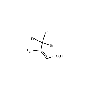 O=C(O)C=C(C(F)(F)F)C(Br)(Br)Br